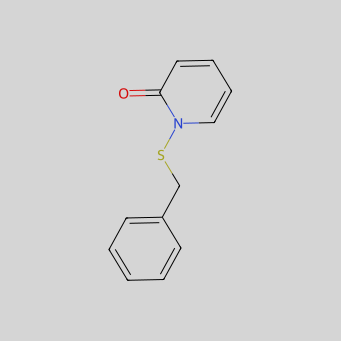 O=c1ccccn1SCc1ccccc1